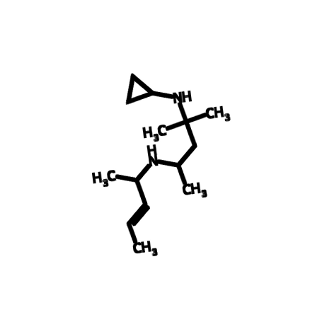 CC=CC(C)NC(C)CC(C)(C)NC1CC1